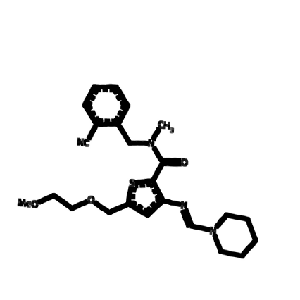 COCCOCc1cc(/N=C/N2CCCCC2)c(C(=O)N(C)Cc2ccccc2C#N)s1